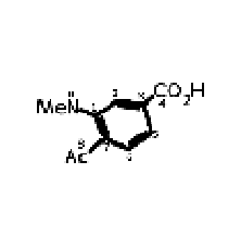 CNc1cc(C(=O)O)ccc1C(C)=O